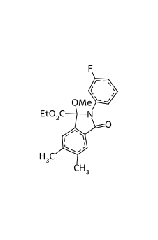 CCOC(=O)C1(OC)c2cc(C)c(C)cc2C(=O)N1c1cccc(F)c1